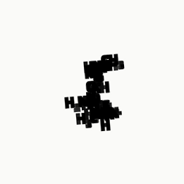 Cc1cc(NC2=CN(Sc3ccc(NC(=O)C4CCN(C5(C(=O)Nc6ccc(SN7C=C(Nc8cc(C)[nH]n8)[N+]8C=CN=C8C7)cc6)CCC(N)C5)CC4)cc3)CC3=NC=C[N+]23)n[nH]1